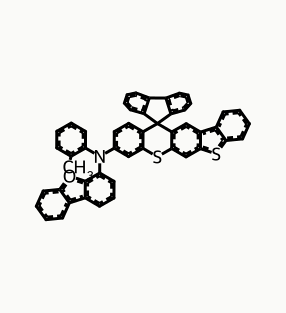 Cc1ccccc1N(c1ccc2c(c1)Sc1cc3sc4ccccc4c3cc1C21c2ccccc2-c2ccccc21)c1cccc2c1oc1ccccc12